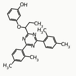 CC[C](Oc1cccc(O)c1)c1nc(-c2ccc(C)cc2C)nc(-c2ccc(C)cc2C)n1